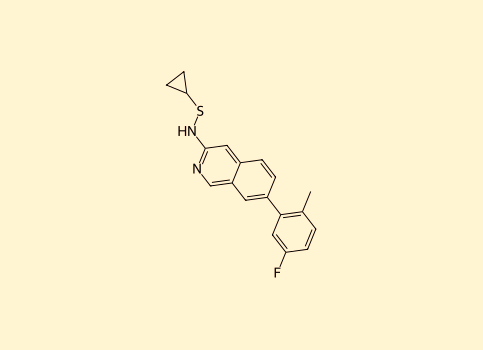 Cc1ccc(F)cc1-c1ccc2cc(NSC3CC3)ncc2c1